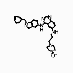 [O-][S+]1CCN(CCCNc2ccc3ncnc(Nc4ccc5c(cnn5Cc5ccccc5)c4)c3c2)CC1